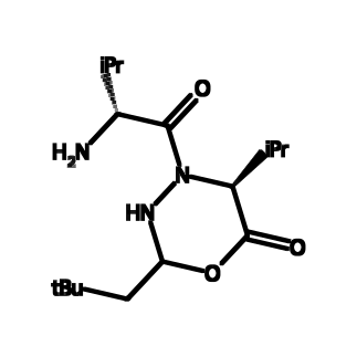 CC(C)[C@H]1C(=O)OC(CC(C)(C)C)NN1C(=O)[C@H](N)C(C)C